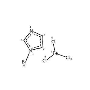 Brn1ccnc1.[Cl][Fe]([Cl])[Cl]